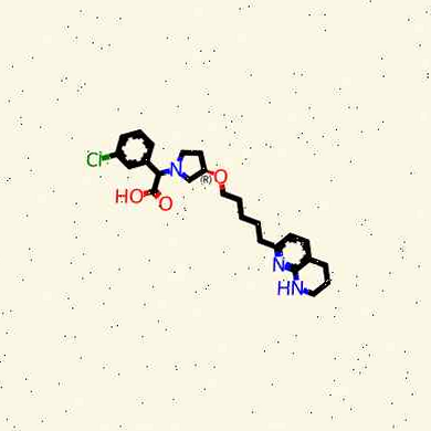 O=C(O)C(c1cccc(Cl)c1)N1CC[C@@H](OCCCCCc2ccc3c(n2)NCCC3)C1